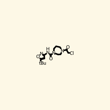 CC(C)(C)c1cc(NC(=O)N2CCCN(C(=O)CCl)CC2)no1